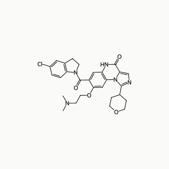 CN(C)CCOc1cc2c(cc1C(=O)N1CCc3cc(Cl)ccc31)[nH]c(=O)c1cnc(C3CCOCC3)n12